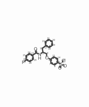 O=C(NC(COc1ccc(S(=O)(=O)Cl)cc1)Cc1ccccc1)c1ccc(F)cc1